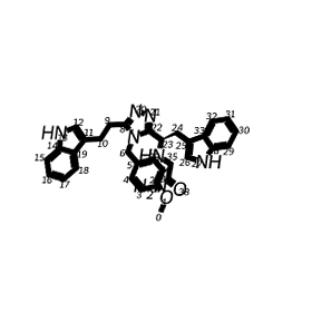 COc1ccc(Cn2c(CCc3c[nH]c4ccccc34)nnc2[C@@H](Cc2c[nH]c3ccccc23)NCC(N)=O)cc1